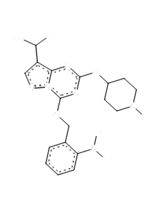 CC(C)c1cnn2c(NCc3ccccc3N(C)C)nc(OC3CCN(C)CC3)nc12